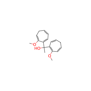 COC1=CCC=CC=C1C(C)(O)C1=C(OC)C=CCC=C1